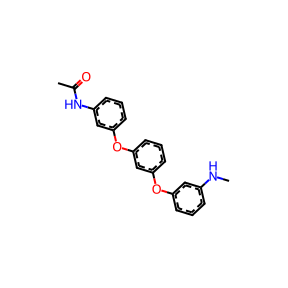 CNc1cccc(Oc2cccc(Oc3cccc(NC(C)=O)c3)c2)c1